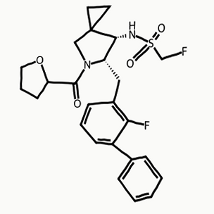 O=C(C1CCCO1)N1CC2(CC2)[C@H](NS(=O)(=O)CF)[C@@H]1Cc1cccc(-c2ccccc2)c1F